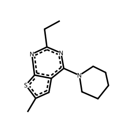 CCc1nc(N2CCCCC2)c2cc(C)sc2n1